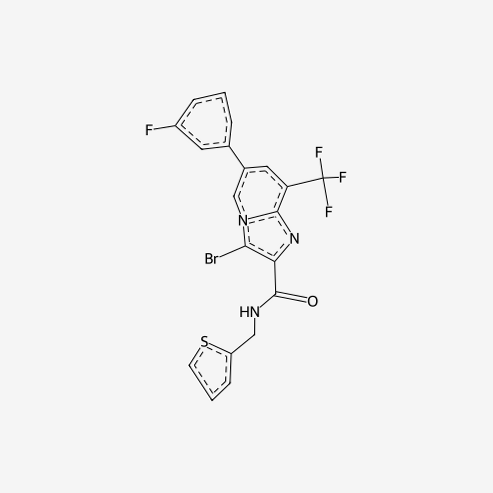 O=C(NCc1cccs1)c1nc2c(C(F)(F)F)cc(-c3cccc(F)c3)cn2c1Br